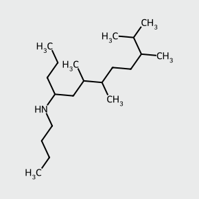 CCCCNC(CCC)CC(C)C(C)CCC(C)C(C)C